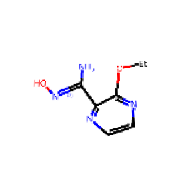 CCOc1nccnc1/C(N)=N/O